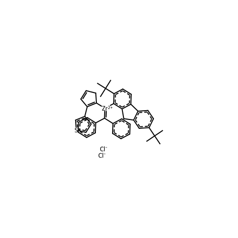 CC(C)(C)c1ccc2c(c1)Cc1c-2ccc(C(C)(C)C)[c]1[Zr+2]([C]1=C(c2ccsc2)C=CC1)=[C](c1ccccc1)c1ccccc1.[Cl-].[Cl-]